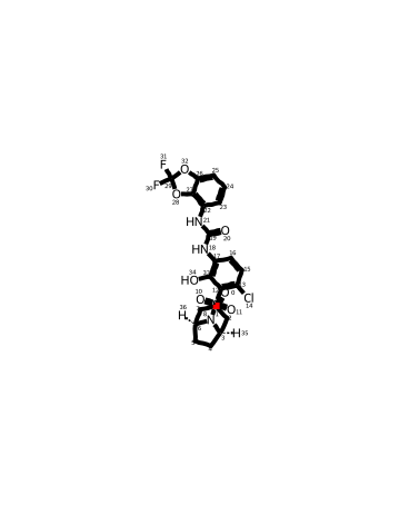 O=C1C[C@H]2CC[C@@H](C1)N2S(=O)(=O)c1c(Cl)ccc(NC(=O)Nc2cccc3c2OC(F)(F)O3)c1O